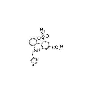 NS(=O)(=O)c1cc(C(=O)O)ccc1-c1ccccc1NCc1ccsc1